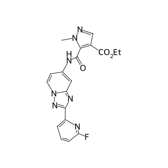 CCOC(=O)c1cnn(C)c1C(=O)Nc1ccn2nc(-c3cccc(F)n3)nc2c1